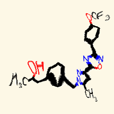 Cc1cc(-c2nc(-c3ccc(OC(F)(F)F)cc3)no2)nn1Cc1cccc(CC(C)O)c1